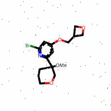 COC1(c2cc(OCC3COC3)cc(Br)n2)CCCOC1